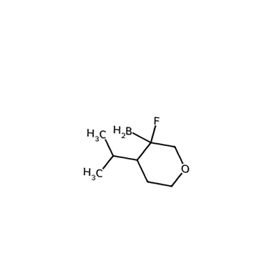 BC1(F)COCCC1C(C)C